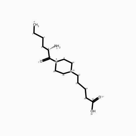 CCCC[C@H](N)C(=O)N1CCN(CCCCC(=O)O)CC1